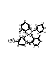 Cc1cccc(C)c1B1N(c2ccccc2)c2cccc(C)c2N1c1cc(C(C)(C)C)cc[n+]1C